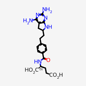 Nc1nc(N)c2c(n1)NC(CCc1ccc(C(=O)N[C@@H](CCC(=O)O)C(=O)O)cc1)C2